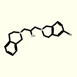 OC(CN1CCc2ccccc2C1)CN1CCc2cc(Br)ccc2C1